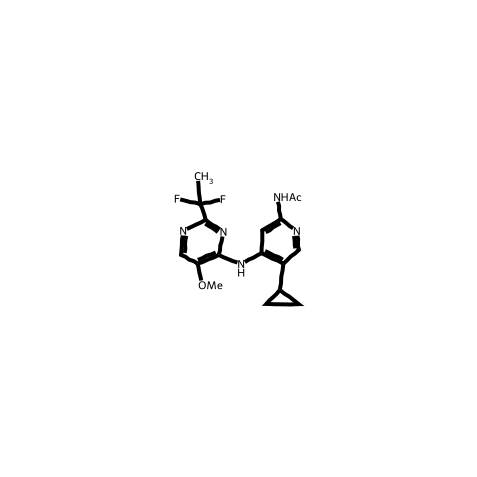 COc1cnc(C(C)(F)F)nc1Nc1cc(NC(C)=O)ncc1C1CC1